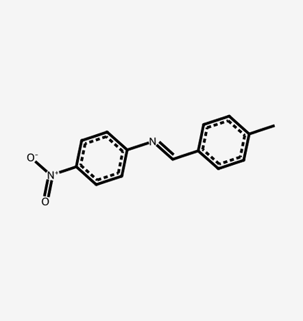 Cc1ccc(C=Nc2ccc([N+](=O)[O-])cc2)cc1